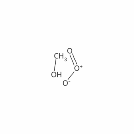 CO.O=[O+][O-]